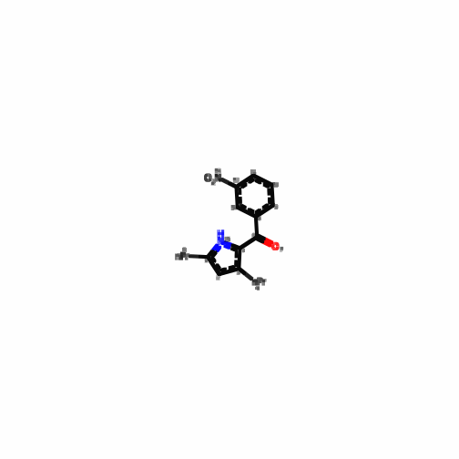 CCCc1cc(CCC)c(C(=O)c2cccc([N+](=O)[O-])c2)[nH]1